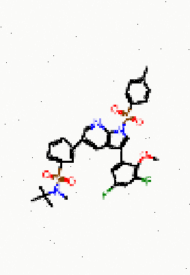 COc1c(F)cc(F)cc1-c1cn(S(=O)(=O)c2ccc(C)cc2)c2ncc(-c3cccc(S(=O)(=O)N(C)C(C)(C)C)c3)cc12